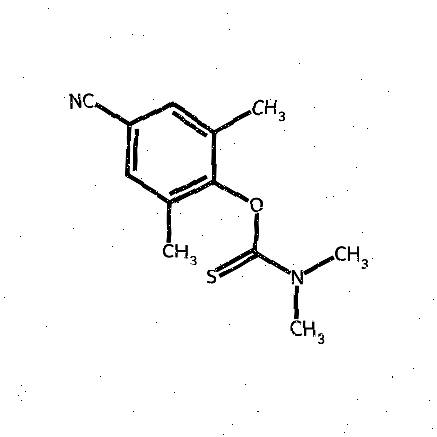 Cc1cc(C#N)cc(C)c1OC(=S)N(C)C